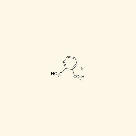 O=C(O)c1ccccc1C(=O)O.[Ir]